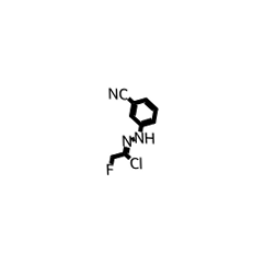 N#Cc1cccc(NN=C(Cl)CF)c1